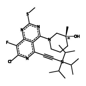 CSc1nc(N2CCC[C@@](C)(O)C2)c2c(C#C[Si](C(C)C)(C(C)C)C(C)C)nc(Cl)c(F)c2n1